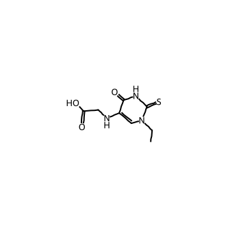 CCn1cc(NCC(=O)O)c(=O)[nH]c1=S